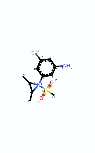 CC1C(C)[N+]1(c1cc(N)cc(Cl)c1)S(C)(=O)=O